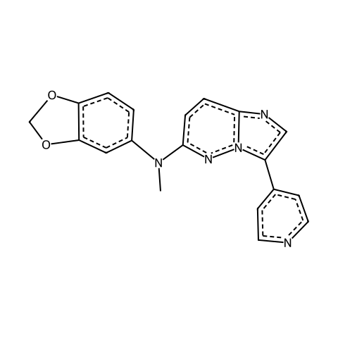 CN(c1ccc2c(c1)OCO2)c1ccc2ncc(-c3ccncc3)n2n1